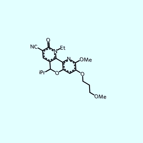 CCn1c2c(cc(C#N)c1=O)C(C(C)C)Oc1cc(OCCCOC)c(OC)nc1-2